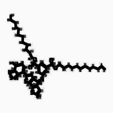 CCCCCCCCCCCCOC(=O)c1cc(/N=C2/c3cc(C)sc3-c3sc(-c4ccc(C)c5nsnc45)cc32)cc(C(=O)OCCCCCCCCCCCC)c1